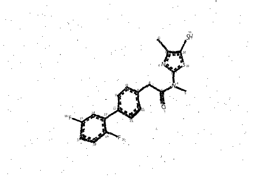 Cc1nc(N(C)C(=O)Cc2ccc(-c3cc(F)ccc3F)cc2)sc1S